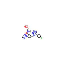 Cc1ccc(-n2nccn2)c(C(=O)N(CCO)[C@@H](C)Cn2nnc(-c3ccc(F)cc3)n2)c1